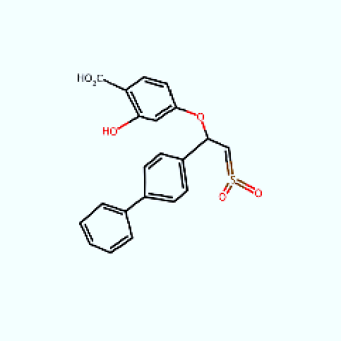 O=C(O)c1ccc(OC(C=S(=O)=O)c2ccc(-c3ccccc3)cc2)cc1O